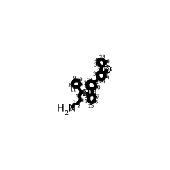 NC/C=C\C=C(\c1ccccc1)n1c2ccccc2c2cc(-c3ccc4oc5ccccc5c4c3)ccc21